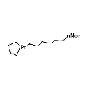 C1CCCC1.CCCCCCCCCCCCCCCC(C)C